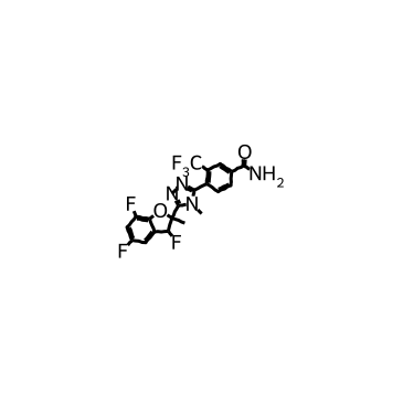 Cn1c(-c2ccc(C(N)=O)cc2C(F)(F)F)nnc1C1(C)Oc2c(F)cc(F)cc2C1F